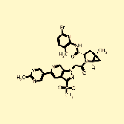 Cc1ncc(-c2cc3c(S(C)(=O)=O)nn(CC(=O)N4[C@H](C(=O)Nc5nc(Br)ccc5C)C[C@@]5(C)C[C@@H]45)c3cn2)cn1